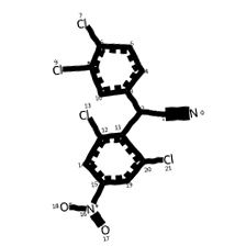 N#CC(c1ccc(Cl)c(Cl)c1)c1c(Cl)cc([N+](=O)[O-])cc1Cl